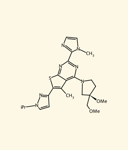 COC[C@@]1(OC)CCN(c2nc(-c3nccn3C)nc3sc(-c4ccn(C(C)C)n4)c(C)c23)C1